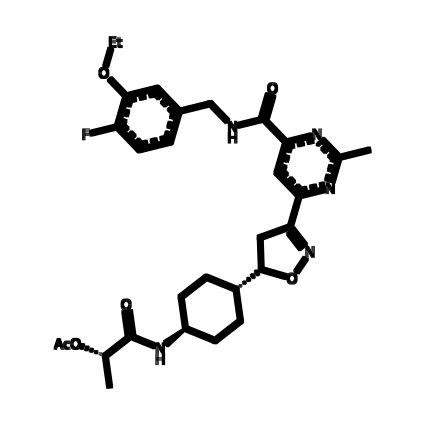 CCOc1cc(CNC(=O)c2cc(C3=NOC([C@H]4CC[C@H](NC(=O)[C@H](C)OC(C)=O)CC4)C3)nc(C)n2)ccc1F